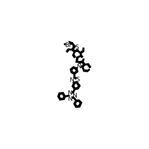 C=Cc1c(/C=C\BC)sc(/C(=C\C)C(=C)/C=C\c2c(C)c(C=C)c(/C=C\C)n2-c2cccc(-c3nc4cc(-c5nc(-c6ccccc6)nc(-c6ccccc6)n5)ccc4s3)c2)c1C=C